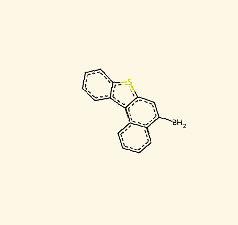 Bc1cc2sc3ccccc3c2c2ccccc12